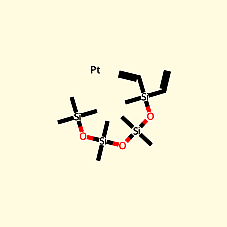 C=C[Si](C)(C=C)O[Si](C)(C)O[Si](C)(C)O[Si](C)(C)C.[Pt]